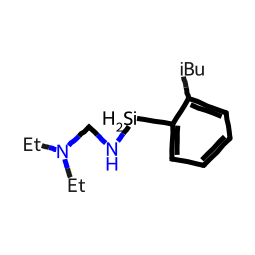 CCC(C)c1ccccc1[SiH2]NCN(CC)CC